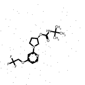 CC(C)(C)NC(=O)O[C@@H]1CCN(c2cc(OCC(F)(F)F)ccn2)C1